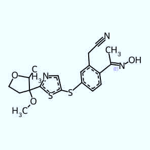 COC1(c2ncc(Sc3ccc(/C(C)=N/O)c(CC#N)c3)s2)CCOC1C